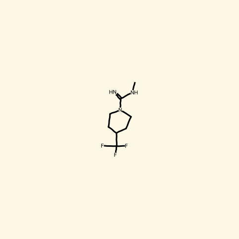 CNC(=N)N1CCC(C(F)(F)F)CC1